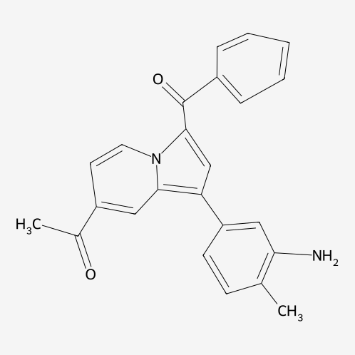 CC(=O)c1ccn2c(C(=O)c3ccccc3)cc(-c3ccc(C)c(N)c3)c2c1